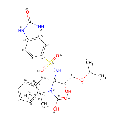 CC(C)OC[C@H](O)[C@](Cc1ccccc1)(NS(=O)(=O)c1ccc2[nH]c(=O)[nH]c2c1)N(C(=O)O)C(C)(C)C